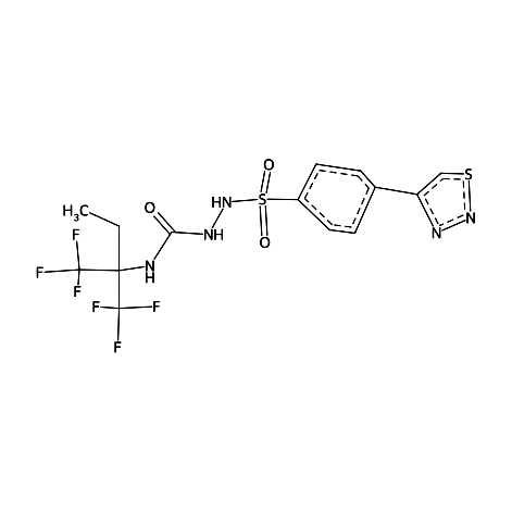 CCC(NC(=O)NNS(=O)(=O)c1ccc(-c2csnn2)cc1)(C(F)(F)F)C(F)(F)F